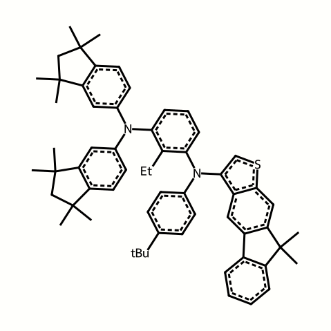 CCc1c(N(c2ccc3c(c2)C(C)(C)CC3(C)C)c2ccc3c(c2)C(C)(C)CC3(C)C)cccc1N(c1ccc(C(C)(C)C)cc1)c1csc2cc3c(cc12)-c1ccccc1C3(C)C